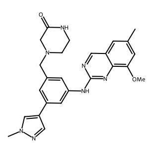 COc1cc(C)cc2cnc(Nc3cc(CN4CCNC(=O)C4)cc(-c4cnn(C)c4)c3)nc12